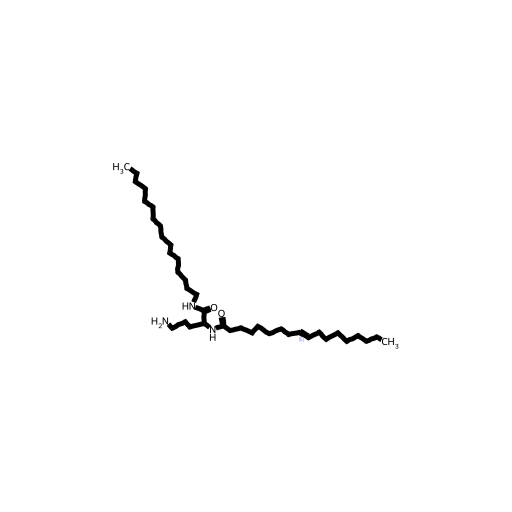 CCCCCCCC/C=C/CCCCCCCC(=O)NC(CCCN)C(=O)NCCCCCCCCCCCCCCCC